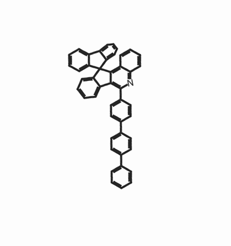 c1ccc(-c2ccc(-c3ccc(-c4nc5ccccc5c5c4-c4ccccc4C54c5ccccc5-c5ccccc54)cc3)cc2)cc1